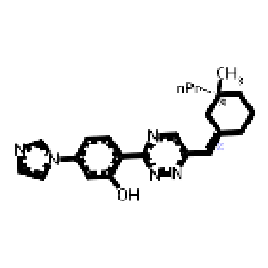 CCC[C@]1(C)CCC/C(=C/c2cnc(-c3ccc(-n4ccnc4)cc3O)nn2)C1